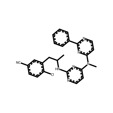 CC(Cc1cc(C#N)ccc1Cl)Nc1nccc(N(C)c2ccnc(-c3ccccc3)n2)n1